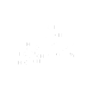 CC(C)=CC1C(O[Si](C)(C)C(C)(C)C)CC2Oc3c(Br)cccc3C21